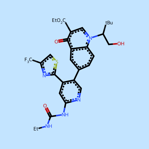 CCNC(=O)Nc1cc(-c2nc(C(F)(F)F)cs2)c(-c2ccc3c(c2)c(=O)c(C(=O)OCC)cn3C(CO)C(C)(C)C)cn1